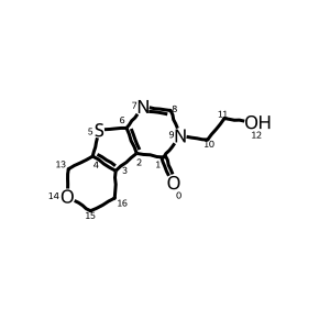 O=c1c2c3c(sc2ncn1CCO)COCC3